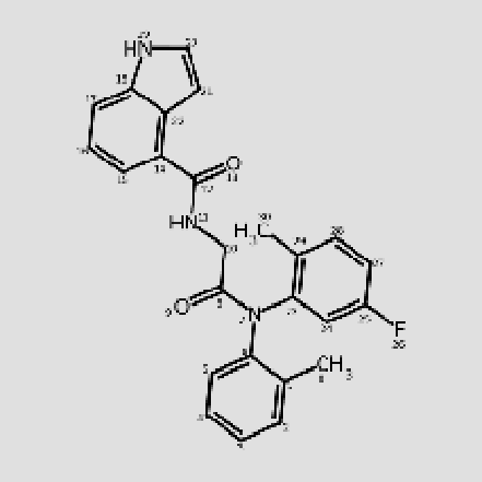 Cc1ccccc1N(C(=O)CNC(=O)c1cccc2[nH]ccc12)c1cc(F)ccc1C